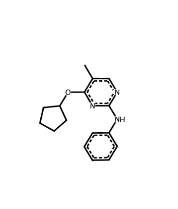 Cc1cnc(Nc2ccccc2)nc1OC1CCCC1